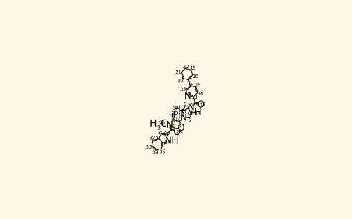 CC(C)[C@@H](C(=O)N1C[C@@H]2C[C@H]1CN2C(=O)c1ccc(-c2ccccc2)cn1)N(C)C(=O)c1cc2ccccc2[nH]1